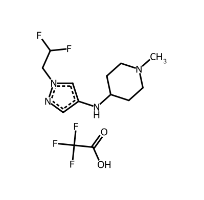 CN1CCC(Nc2cnn(CC(F)F)c2)CC1.O=C(O)C(F)(F)F